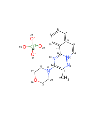 Cc1n[n+]2ccc3ccccc3c2nc1N1CCOCC1.[O-][Cl+3]([O-])([O-])[O-]